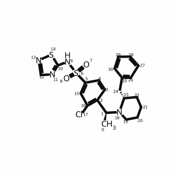 C[C@@H](c1ccc(S(=O)(=O)Nc2ncns2)cc1Cl)N1CCCC[C@H]1Cc1ccccc1